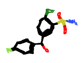 NS(=O)(=O)c1cc(C(=O)c2ccc(F)cc2)ccc1Cl